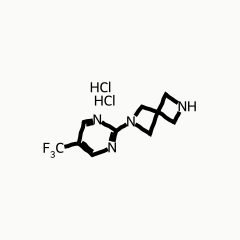 Cl.Cl.FC(F)(F)c1cnc(N2CC3(CNC3)C2)nc1